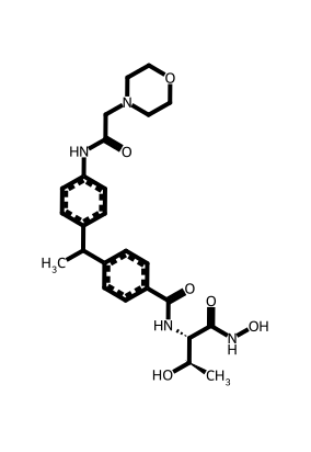 CC(c1ccc(NC(=O)CN2CCOCC2)cc1)c1ccc(C(=O)N[C@H](C(=O)NO)[C@@H](C)O)cc1